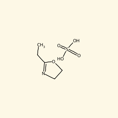 CCC1=NCCO1.O=S(=O)(O)O